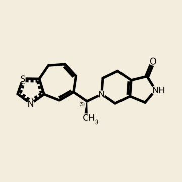 C[C@@H](C1=Cc2ncsc2CC=C1)N1CCC2=C(CNC2=O)C1